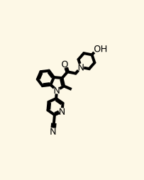 Cc1c(C(=O)CN2CCC(O)CC2)c2ccccc2n1-c1ccc(C#N)nc1